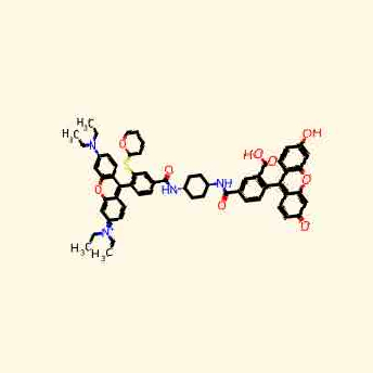 CCN(CC)c1ccc2c(-c3ccc(C(=O)N[C@H]4CC[C@H](NC(=O)c5ccc(-c6c7ccc(=O)cc-7oc7cc(O)ccc67)c(C(=O)O)c5)CC4)cc3SC3CCCCO3)c3ccc(=[N+](CC)CC)cc-3oc2c1